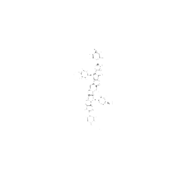 Cc1ccc(-c2cc3sc4c5sc6cc7c(cc6c5n(-c5ccc(C)cc5)c4c3s2)sc2c3sc4cc(-c5ccc(C)cc5)sc4c3n(-c3ccc(C)cc3)c72)cc1